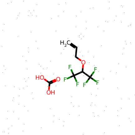 C=CCOC(C(F)(F)F)C(F)(F)F.O=C(O)O